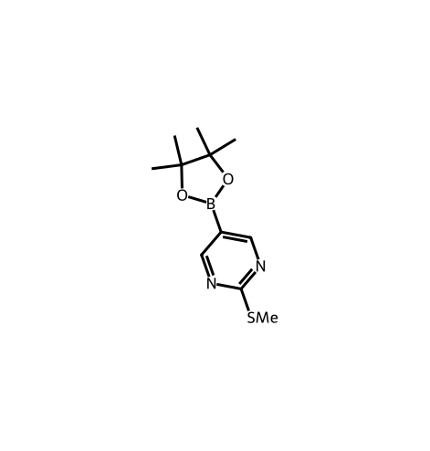 CSc1ncc(B2OC(C)(C)C(C)(C)O2)cn1